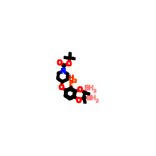 BC1(C)Oc2ccc(OC3CCN(C(=O)OC(C)(C)C)CC3)c(P)c2OC1(B)C